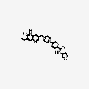 CCc1cc2ncc(CN3CCN(c4ccc(C(=O)N[C@H]5CCOC5)nc4)CC3)cc2[nH]c1=O